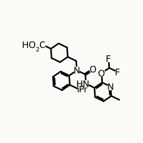 Cc1ccc(NC(=O)N(CC2CCC(C(=O)O)CC2)c2ccccc2C(C)C)c(OC(F)F)n1